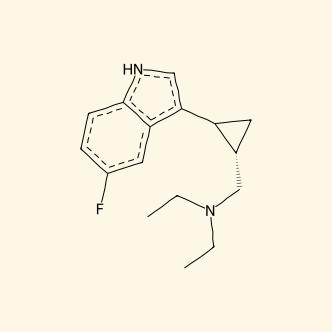 CCN(CC)C[C@H]1CC1c1c[nH]c2ccc(F)cc12